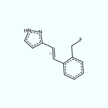 FCc1ccccc1/C=C/c1cc[nH]n1